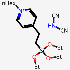 CCCCCC[n+]1ccc(CC[Si](OCC)(OCC)OCC)cc1.N#CNC#N